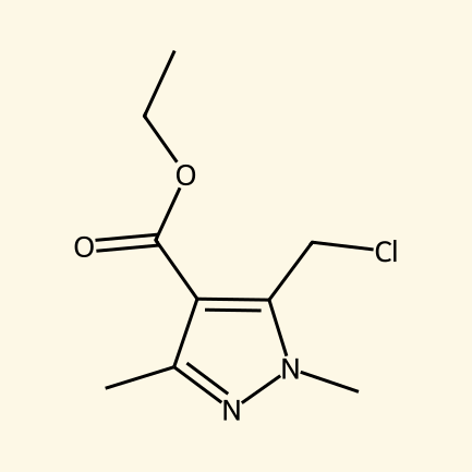 CCOC(=O)c1c(C)nn(C)c1CCl